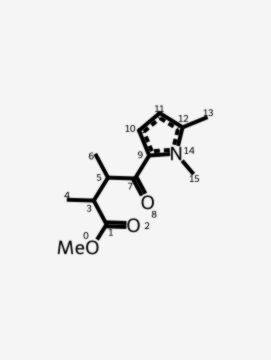 COC(=O)C(C)C(C)C(=O)c1ccc(C)n1C